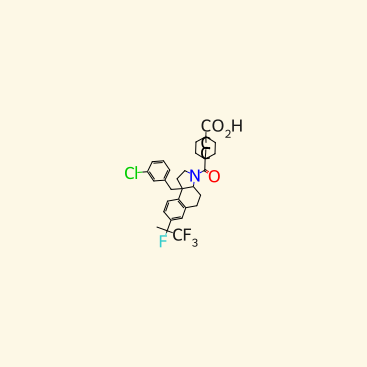 CC(F)(c1ccc2c(c1)CCC1N(C(=O)C34CCC(C(=O)O)(CC3)CC4)CCC21Cc1cccc(Cl)c1)C(F)(F)F